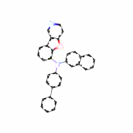 c1ccc(-c2ccc(N(c3ccc4ccccc4c3)c3cccc4c3oc3ccncc34)cc2)cc1